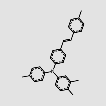 Cc1ccc(C=Cc2ccc(N(c3ccc(C)cc3)c3ccc(C)c(C)c3)cc2)cc1